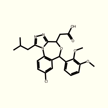 COc1cccc(C2OC(CC(=O)O)c3nnc(CC(C)C)n3-c3ccc(Cl)cc32)c1OC